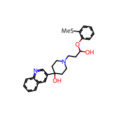 CSc1ccccc1OC(O)CCN1CCC(O)(c2cnc3ccccc3c2)CC1